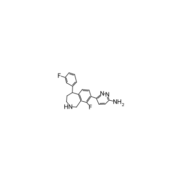 Nc1ccc(-c2ccc3c(c2F)CNCCC3c2cccc(F)c2)nn1